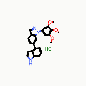 COc1cc(-n2ncc3ccc(-c4cccc5[nH]ccc45)cc32)cc(OC)c1OC.Cl